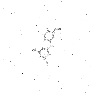 COc1cc(Oc2cc(Cl)cc(Cl)c2)ncn1